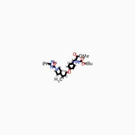 COC(=O)C(Cc1ccc(OCC[C@@H](C)C2CCN(c3nc(C(C)C)no3)CC2)cc1)NC(=O)OC(C)(C)C